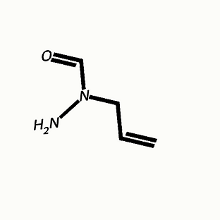 C=CCN(N)C=O